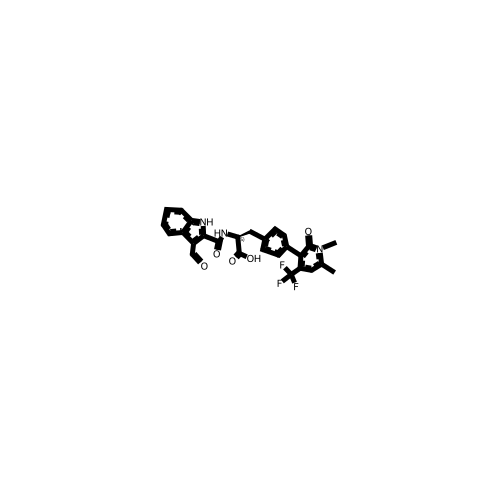 Cc1cc(C(F)(F)F)c(-c2ccc(C[C@H](NC(=O)c3[nH]c4ccccc4c3C=O)C(=O)O)cc2)c(=O)n1C